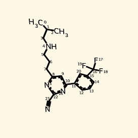 CC(C)CNCCCc1cc(-c2cccc(C(F)(F)F)c2)nc(C#N)n1